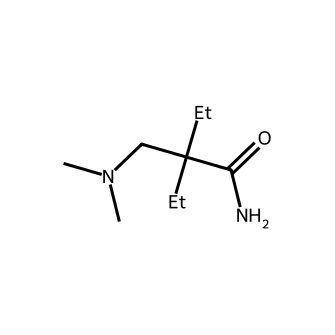 CCC(CC)(CN(C)C)C(N)=O